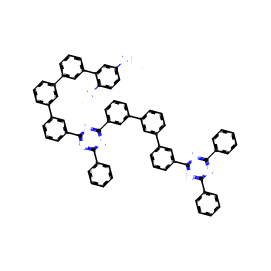 Nc1ccc(N)c(-c2cccc(-c3cccc(-c4cccc(-c5nc(-c6ccccc6)nc(-c6cccc(-c7cccc(-c8cccc(-c9nc(-c%10ccccc%10)nc(-c%10ccccc%10)n9)c8)c7)c6)n5)c4)c3)c2)c1